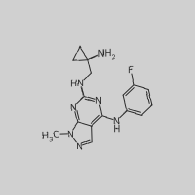 Cn1ncc2c(Nc3cccc(F)c3)nc(NCC3(N)CC3)nc21